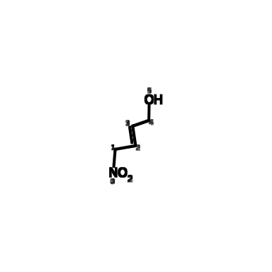 O=[N+]([O-])CC=CCO